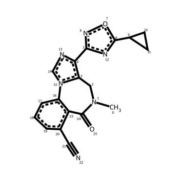 CN1Cc2c(-c3noc(C4CC4)n3)ncn2-c2cccc(C#N)c2C1=O